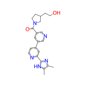 Cc1nc(-c2cc(-c3cncc(C(=O)N4CCC(CCO)C4)c3)ccn2)[nH]c1C